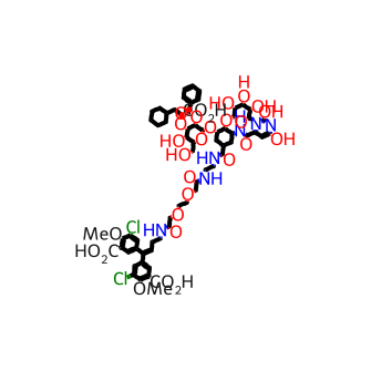 COc1c(Cl)cc(C(=CCCNC(=O)COCCOCC(=O)NCCNC(=O)C2CC(NC(=O)c3cc(O)nc(O)n3)C(OC3OC(C)C(O)C(O)C3O)C(OC3OC(CO)C(O)C(O[C@@H](CC4CCCCC4)C(=O)O)C3OC(=O)c3ccccc3)C2)c2cc(Cl)c(OC)c(C(=O)O)c2)cc1C(=O)O